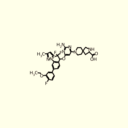 CCOc1cc(-c2ccc(C(Oc3cc(N4CCC5(CC4)CNC(C(=O)O)C5)nc(N)n3)C(F)(F)F)c(-n3ccc(C)n3)c2)ccc1F